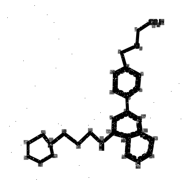 O=C(O)COCc1ccc(-c2cc(NCCCN3CCCCC3)c3cnccc3n2)cc1